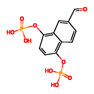 O=Cc1ccc2c(OP(=O)(O)O)ccc(OP(=O)(O)O)c2c1